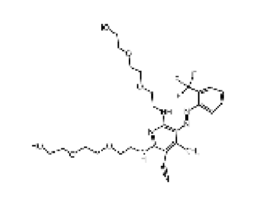 Cc1c(C#N)c(NCCOCCOCCO)nc(NCCOCCOCCO)c1N=Nc1ccccc1C(F)(F)F